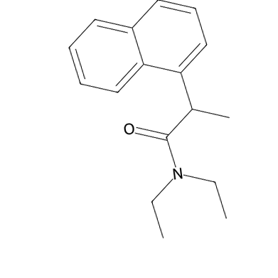 CCN(CC)C(=O)C(C)c1cccc2ccccc12